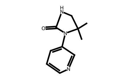 CC1(C)CNC(=O)N1c1cccnc1